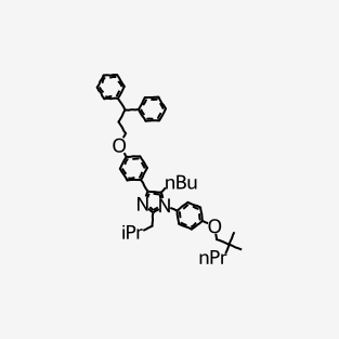 CCCCc1c(-c2ccc(OCCC(c3ccccc3)c3ccccc3)cc2)nc(CC(C)C)n1-c1ccc(OCC(C)(C)CCC)cc1